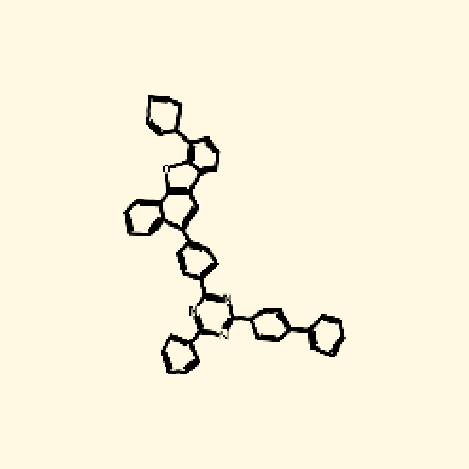 C1=CCC(c2cccc3c2oc2c4ccccc4c(-c4ccc(-c5nc(-c6ccccc6)nc(C6C=CC(c7ccccc7)=CC6)n5)cc4)cc32)C=C1